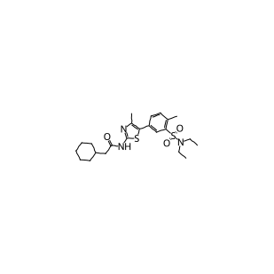 CCN(CC)S(=O)(=O)c1cc(-c2sc(NC(=O)CC3CCCCC3)nc2C)ccc1C